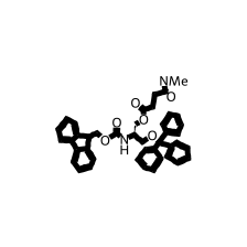 CNC(=O)CCC(=O)OC[C@H](COC(c1ccccc1)(c1ccccc1)c1ccccc1)NC(=O)OCC1c2ccccc2-c2ccccc21